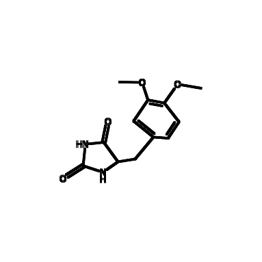 COc1ccc(CC2NC(=O)NC2=O)cc1OC